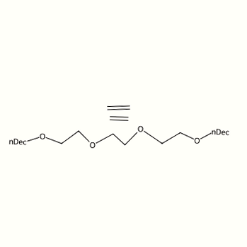 C=C.C=C.CCCCCCCCCCOCCOCCOCCOCCCCCCCCCC